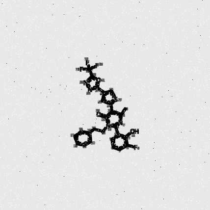 Cc1nc(-c2cccc(F)c2O)n(CCc2ccccc2)c(=O)c1-c1cc(-c2nnc(C(F)(F)F)o2)cs1